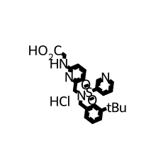 CC(C)(C)c1cccc(CN(Cc2cccc(NCC(=O)O)n2)S(=O)(=O)c2cccnc2)c1.Cl